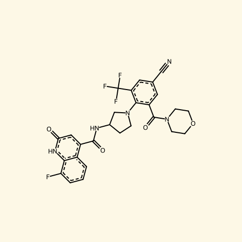 N#Cc1cc(C(=O)N2CCOCC2)c(N2CCC(NC(=O)c3cc(=O)[nH]c4c(F)cccc34)C2)c(C(F)(F)F)c1